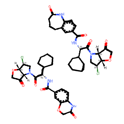 O=C1CCCc2cc(C(=O)N[C@H](C(=O)N3C[C@H](Cl)[C@H]4OCC(=O)[C@H]43)C3CCCCC3)ccc2N1.O=C1COc2cc(C(=O)N[C@H](C(=O)N3C[C@H](Cl)[C@H]4OCC(=O)[C@H]43)C3CCCCC3)ccc2N1